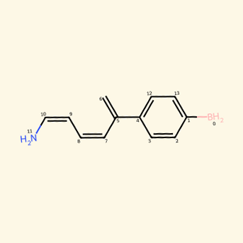 Bc1ccc(C(=C)/C=C\C=C/N)cc1